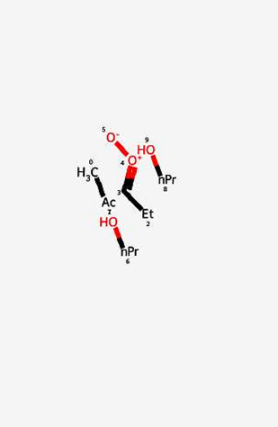 CC(C)=O.CCC=[O+][O-].CCCO.CCCO